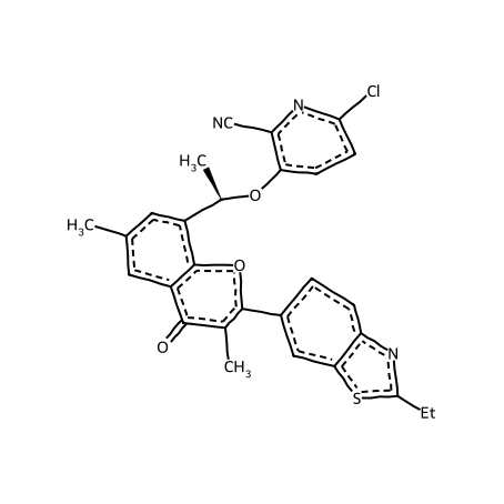 CCc1nc2ccc(-c3oc4c([C@@H](C)Oc5ccc(Cl)nc5C#N)cc(C)cc4c(=O)c3C)cc2s1